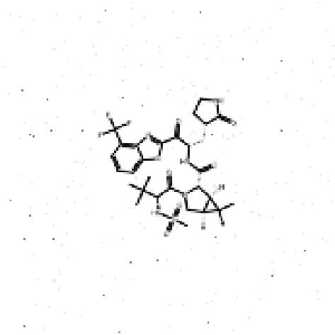 CC(C)(C)[C@H](NS(C)(=O)=O)C(=O)N1C[C@H]2[C@@H]([C@H]1C(=O)N[C@@H](C[C@@H]1CCNC1=O)C(=O)c1nc3c(C(F)(F)F)cccc3o1)C2(C)C